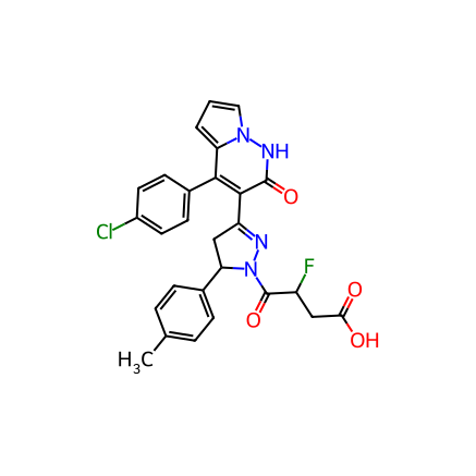 Cc1ccc(C2CC(c3c(-c4ccc(Cl)cc4)c4cccn4[nH]c3=O)=NN2C(=O)C(F)CC(=O)O)cc1